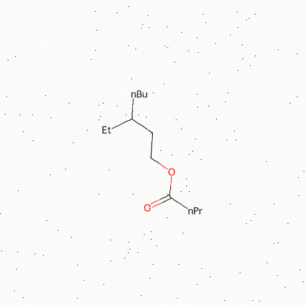 CCCCC(CC)CCOC(=O)CCC